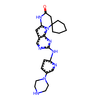 O=C1CC2(CCCCC2)n2c(cc3cnc(Nc4ccc(N5CCNCC5)cn4)nc32)N1